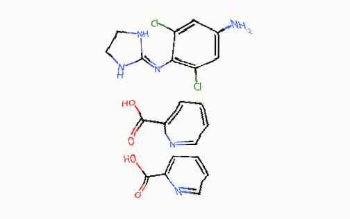 Nc1cc(Cl)c(N=C2NCCN2)c(Cl)c1.O=C(O)c1ccccn1.O=C(O)c1ccccn1